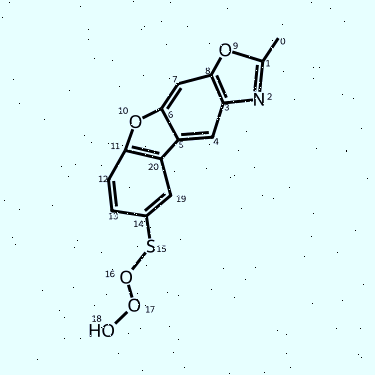 Cc1nc2cc3c(cc2o1)oc1ccc(SOOO)cc13